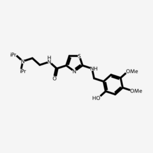 COc1cc(O)c(CNc2nc(C(=O)NCCN(C(C)C)C(C)C)cs2)cc1OC